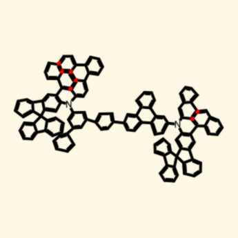 c1ccc(-c2cc(-c3ccc(-c4ccc5c6ccc(N(c7ccc8ccccc8c7)c7cc8c(cc7-c7cccc9ccccc79)-c7ccccc7C87c8ccccc8-c8ccccc87)cc6c6ccccc6c5c4)cc3)cc(N(c3ccc4c5ccccc5c5ccccc5c4c3)c3cc4c(cc3-c3cccc5ccccc35)-c3ccccc3C43c4ccccc4-c4ccccc43)c2)cc1